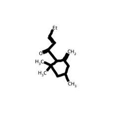 C=C1CC(C)CC(C)(C)C1C(=O)/C=C/CC